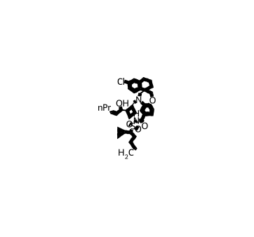 C=CCCC(C1CC1)S(=O)(=O)NC(=O)c1ccc2c(c1)N(C[C@@H]1CC[C@H]1C(O)/C=C\CCC)C[C@@]1(CCCc3cc(Cl)ccc31)CO2